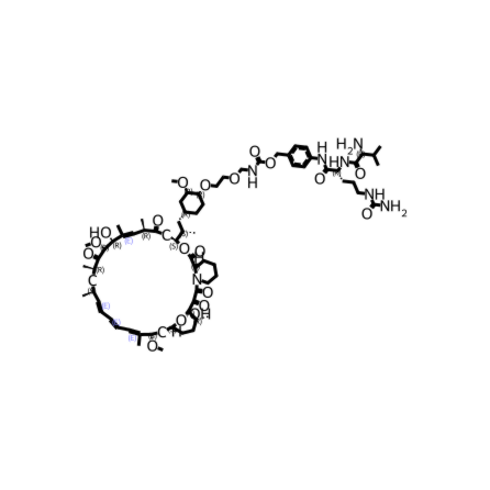 CO[C@H]1C[C@@H]2CC[C@@H](C)[C@@](O)(O2)C(=O)C(=O)N2CCCC[C@H]2C(=O)O[C@H]([C@@H](C)C[C@H]2CC[C@@H](OCCOCNC(=O)OCc3ccc(NC(=O)[C@@H](CCCNC(N)=O)NC(=O)[C@H](N)C(C)C)cc3)[C@H](OC)C2)CC(=O)[C@H](C)/C=C(\C)[C@@H](O)[C@@H](OC)C(=O)[C@H](C)C[C@H](C)/C=C/C=C/C=C/1C